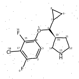 Fc1ccc(OC(C2CC2)[C@H]2CCNC2)c(F)c1Cl